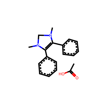 CC(=O)O.CN1CN(C)C(c2ccccc2)=C1c1ccccc1